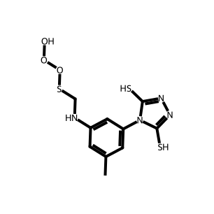 Cc1cc(NCSOOO)cc(-n2c(S)nnc2S)c1